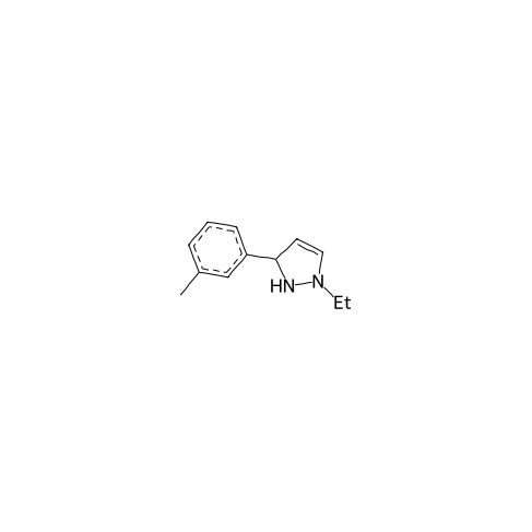 CCN1C=CC(c2cccc(C)c2)N1